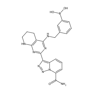 NC(=O)c1cccc2c(-c3nc4c(c(NCc5cccc(B(O)O)c5)n3)CCCN4)nnn12